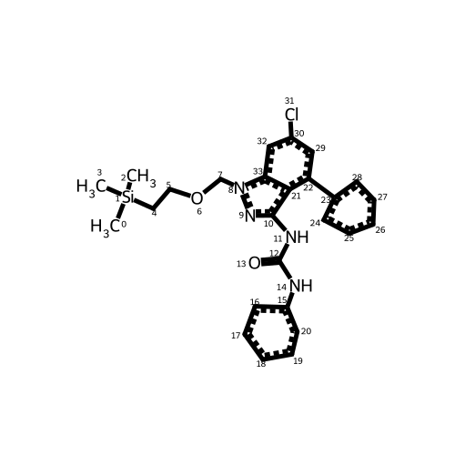 C[Si](C)(C)CCOCn1nc(NC(=O)Nc2ccccc2)c2c(-c3ccccc3)cc(Cl)cc21